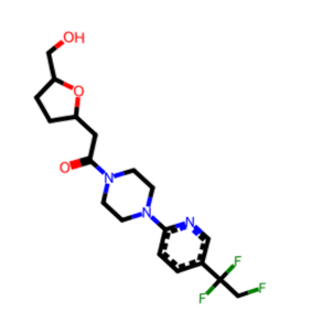 O=C(CC1CCC(CO)O1)N1CCN(c2ccc(C(F)(F)CF)cn2)CC1